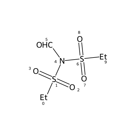 CCS(=O)(=O)N(C=O)S(=O)(=O)CC